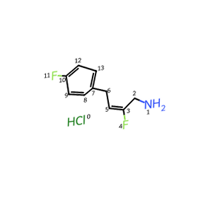 Cl.NC/C(F)=C\Cc1ccc(F)cc1